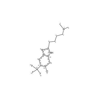 CN(C)CCCCc1nc2cc(C(F)(F)F)c(Cl)cc2[nH]1